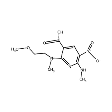 CNc1nc(N(C)CCOC)c(C(=O)O)cc1[N+](=O)[O-]